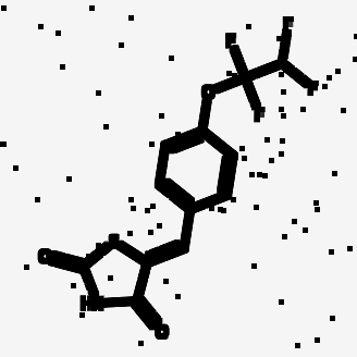 O=C1NC(=O)C(=Cc2ccc(OC(F)(F)C(F)F)cc2)S1